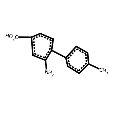 Cc1ccc(-c2ccc(C(=O)O)cc2N)cc1